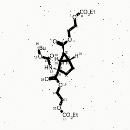 CCOC(=O)OCCOC(=O)[C@H]1[C@@H]2CC[C@@](NC(=O)OC(C)(C)C)(C(=O)OCCOC(=O)OCC)[C@@H]21